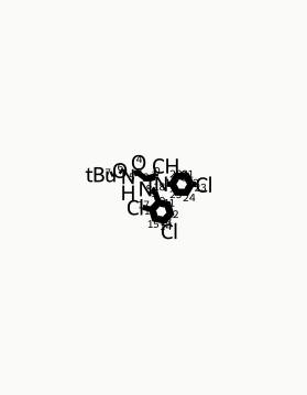 Cc1c(C(=O)NOC(C)(C)C)nc(-c2ccc(Cl)cc2Cl)n1-c1ccc(Cl)cc1